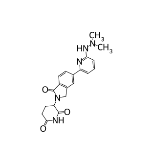 CN(C)Nc1cccc(-c2ccc3c(c2)CN(C2CCC(=O)NC2=O)C3=O)n1